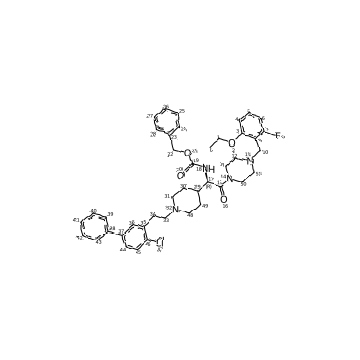 CCOc1cccc(F)c1CN1CCN(C(=O)[C@H](NC(=O)OCc2ccccc2)C2CCN(CCc3cc(-c4ccccc4)ccc3Cl)CC2)CC1